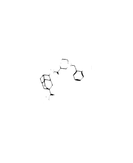 Cc1ccccc1CN1CCOC(C(=O)NC2C3CC4CC2CC(C(N)=O)(C4)C3)C1